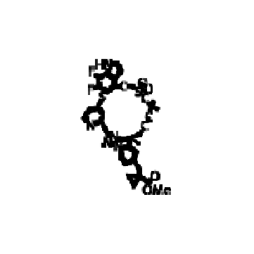 COC(=O)C1(Cc2cccc([C@@]3(C)CCCC(C)(C)CS(=O)(=O)CCc4c(c(F)c(F)c5[nH]ccc45)Sc4ccnc(c4)-c4nc3nn4C)c2)CC1